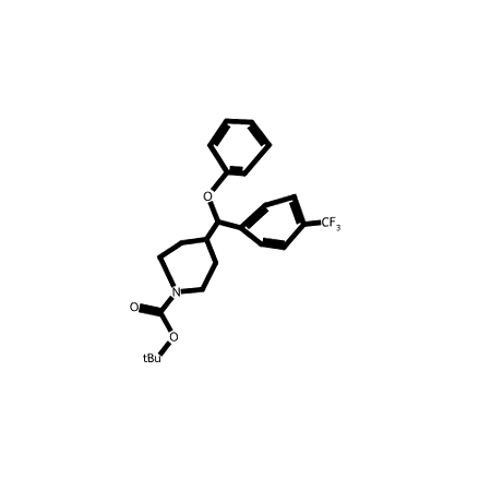 CC(C)(C)OC(=O)N1CCC(C(Oc2ccccc2)c2ccc(C(F)(F)F)cc2)CC1